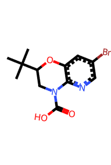 CC(C)(C)C1CN(C(=O)O)c2ncc(Br)cc2O1